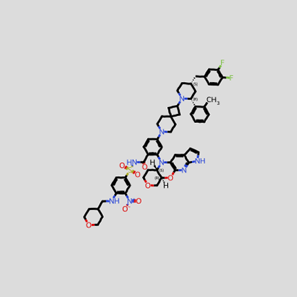 Cc1ccccc1[C@H]1C[C@@H](Cc2ccc(F)c(F)c2)CCN1C1CC2(CCN(c3ccc(C(=O)NS(=O)(=O)c4ccc(NCC5CCOCC5)c([N+](=O)[O-])c4)c(N4c5cc6cc[nH]c6nc5O[C@H]5COCC[C@@H]54)c3)CC2)C1